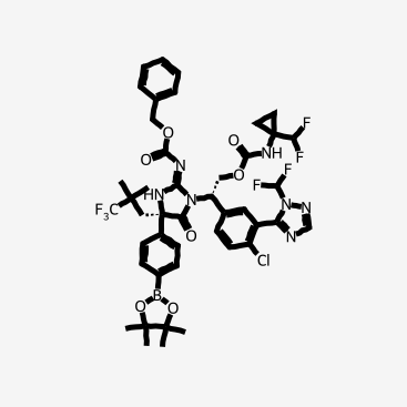 CC(C)(C[C@]1(c2ccc(B3OC(C)(C)C(C)(C)O3)cc2)N/C(=N\C(=O)OCc2ccccc2)N([C@H](COC(=O)NC2(C(F)F)CC2)c2ccc(Cl)c(-c3ncnn3C(F)F)c2)C1=O)C(F)(F)F